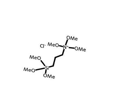 CO[N+](CCC[Si](OC)(OC)OC)(OC)OC.[Cl-]